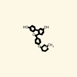 CN1CCCC(Oc2ccc(C(=O)c3ccc(O)cc3-c3ccc(O)cc3)cc2)C1